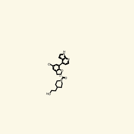 O=C([C@@H]1Cc2cc(Cl)cc(-c3ccnc4[nH]ccc34)c2O1)N1CCC(CCO)CC1